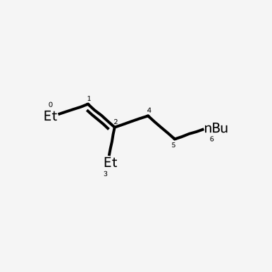 CC/C=C(\CC)CCCCCC